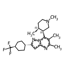 Cc1nc2cc([C@H]3CC[C@H](C(F)(F)F)CC3)nn2c([C@@H]2CN(C)CC[C@@H]2C)c1C